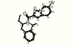 CCC1Cc2ccccc2C(C)N1C(=O)c1cc2ccc(Br)cn2n1